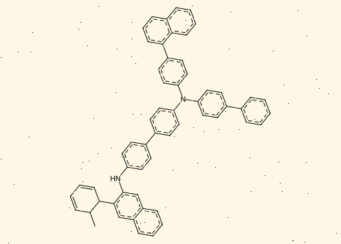 CC1C=CC=CC1c1cc2ccccc2cc1Nc1ccc(-c2ccc(N(c3ccc(-c4ccccc4)cc3)c3ccc(-c4cccc5ccccc45)cc3)cc2)cc1